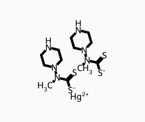 CN(C(=S)[S-])N1CCNCC1.CN(C(=S)[S-])N1CCNCC1.[Hg+2]